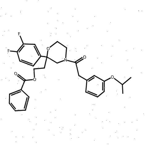 CC(C)Oc1cccc(CC(=O)N2CCOC(CCOC(=O)c3ccccc3)(c3ccc(F)c(F)c3)C2)c1